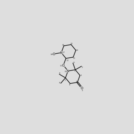 CC1(C)CC(=O)CC(C)(C)N1OC1CCCCN1[O]